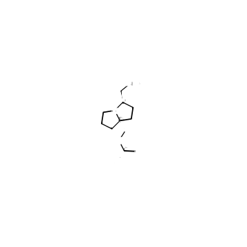 CC(=O)NC[C@H]1CC[C@@]2(CO[C@@H](C)I)CCCN12